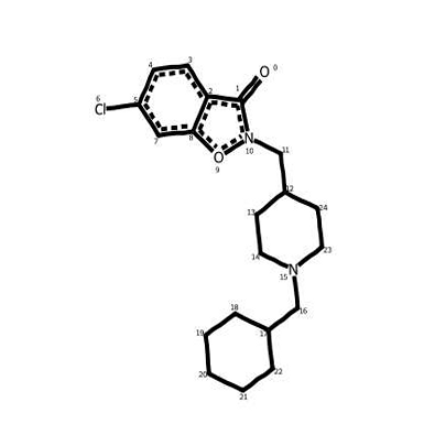 O=c1c2ccc(Cl)cc2on1CC1CCN(CC2CCCCC2)CC1